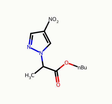 CCCCOC(=O)C(C)n1cc([N+](=O)[O-])cn1